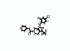 O=C(Cc1ccncc1)N1CCc2c(C(F)(F)F)nn(Cc3ccc(Cl)cc3F)c2C1